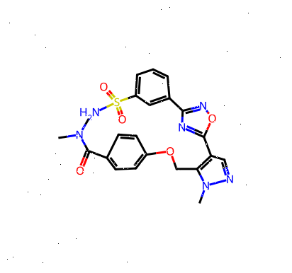 CN(C)C(=O)c1ccc(OCc2c(-c3nc(-c4cccc(S(N)(=O)=O)c4)no3)cnn2C)cc1